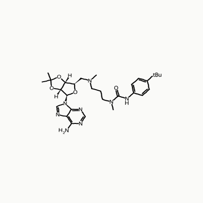 CN(CCCN(C)C(=O)Nc1ccc(C(C)(C)C)cc1)C[C@H]1O[C@@H](n2cnc3c(N)ncnc32)[C@@H]2OC(C)(C)O[C@@H]21